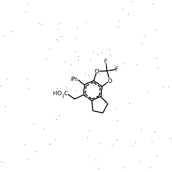 CC(C)c1c(CC(=O)O)c2c(c3c1OC(F)(F)O3)CCC2